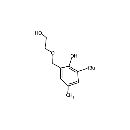 Cc1cc(COCCO)c(O)c(C(C)(C)C)c1